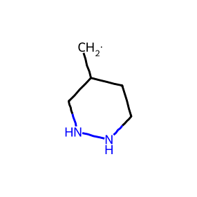 [CH2]C1CCNNC1